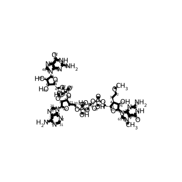 COCC[C@@H]1[C@@H](COP(=O)(O)OP(=O)(O)OP(=O)(O)OCC2O[C@@H](n3cnc4c(N)ncnc43)[C@H](OC)[C@@H]2OP(=O)(O)OC[C@H]2O[C@@H](n3cnc4c(=O)[nH]c(N)nc43)[C@H](O)[C@@H]2O)OC(n2c[n+](C)c3c(=O)[nH]c(N)nc32)[C@@H]1O